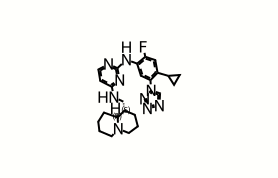 Fc1cc(C2CC2)c(-n2cnnn2)cc1Nc1nccc(NC[C@@H]2CCCN3CCCC[C@H]23)n1